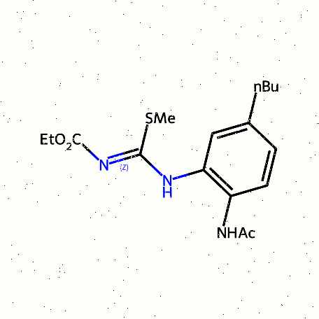 CCCCc1ccc(NC(C)=O)c(N/C(=N/C(=O)OCC)SC)c1